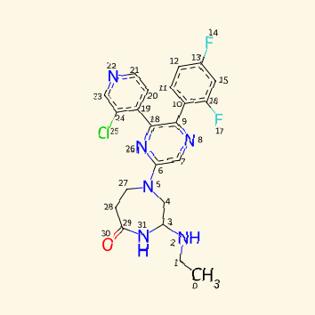 CCNC1CN(c2cnc(-c3ccc(F)cc3F)c(-c3ccncc3Cl)n2)CCC(=O)N1